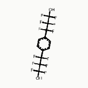 OC(F)(F)C(F)(F)C(F)(F)c1ccc(C(F)(F)C(F)(F)C(O)(F)F)cc1